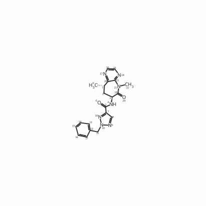 C[C@H]1C[C@H](NC(=O)c2cnn(Cc3ccccc3)n2)C(=O)N(C)c2nccnc21